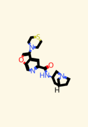 O=C(N[C@@H]1C[C@H]2CCN(C2)C1)c1cc2c(N3CCSCC3)coc2cn1